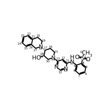 CS(=O)(=O)c1ccccc1Nc1cc(N2CC[C@@H](N3CCc4ccccc4C3)[C@H](O)C2)ncn1